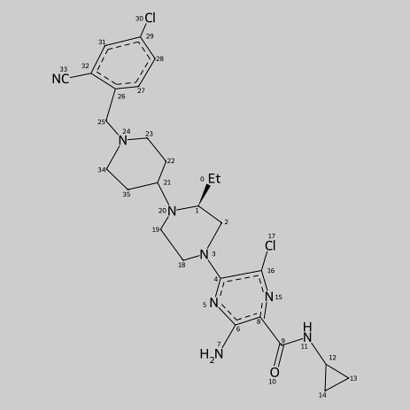 CC[C@H]1CN(c2nc(N)c(C(=O)NC3CC3)nc2Cl)CCN1C1CCN(Cc2ccc(Cl)cc2C#N)CC1